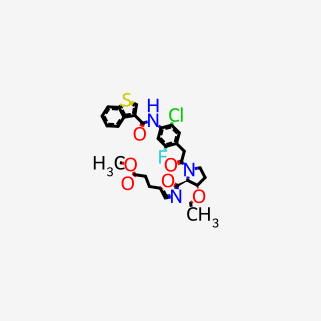 CCO[C@H]1CCN(C(=O)Cc2cc(Cl)c(NC(=O)c3csc4ccccc34)cc2F)[C@@H]1c1ncc(CCC(=O)OC)o1